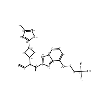 C=CC(Nc1nc2c(OCCC(F)(F)F)cccn2n1)C1CN(c2nc(C)ns2)C1